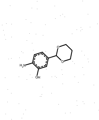 Nc1ccc(C2OCCCO2)cc1O